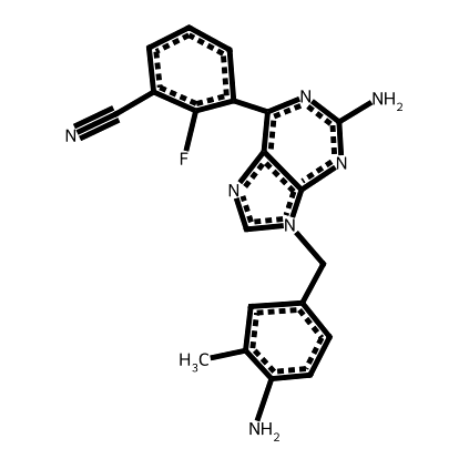 Cc1cc(Cn2cnc3c(-c4cccc(C#N)c4F)nc(N)nc32)ccc1N